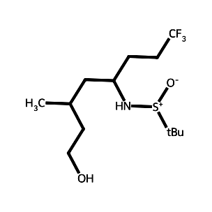 CC(CCO)CC(CCC(F)(F)F)N[S+]([O-])C(C)(C)C